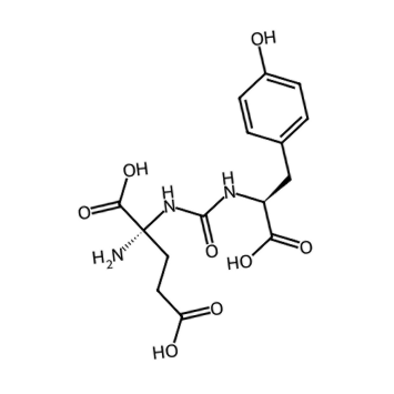 N[C@@](CCC(=O)O)(NC(=O)N[C@@H](Cc1ccc(O)cc1)C(=O)O)C(=O)O